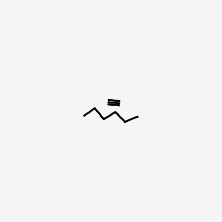 C#C.CCCCCC